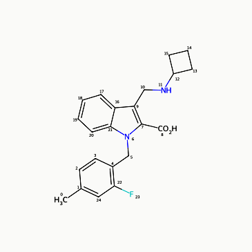 Cc1ccc(Cn2c(C(=O)O)c(CNC3CCC3)c3ccccc32)c(F)c1